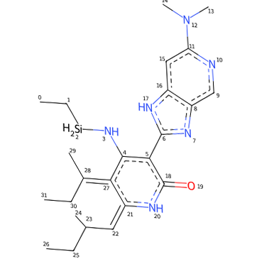 CC[SiH2]Nc1c(-c2nc3cnc(N(C)C)cc3[nH]2)c(=O)[nH]c(=C/C(C)CC)/c1=C(/C)CC